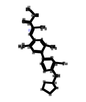 C/C(=C\c1cc(C)c(-c2ccc(NC3CCCC3)c(F)c2)cc1C)C(=O)NC(C)C